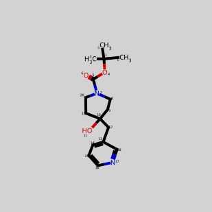 CC(C)(C)OC(=O)N1CCC(O)(Cc2cccnc2)CC1